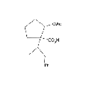 CC(=O)OC1CCCC1(C(=O)O)C(C)CC(C)C